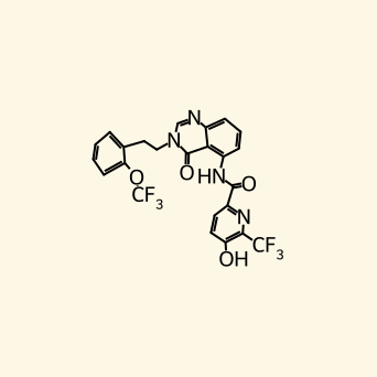 O=C(Nc1cccc2ncn(CCc3ccccc3OC(F)(F)F)c(=O)c12)c1ccc(O)c(C(F)(F)F)n1